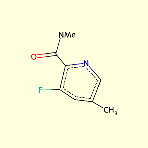 CNC(=O)c1ncc(C)cc1F